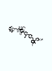 CC[C@H]1CN(c2nc(N)c(C(=O)NCCO[Si](C(C)C)(C(C)C)C(C)C)nc2Cl)CCN1C1CCN(Cc2ccc(F)c(C)c2N2CC[C@H](O)C2)CC1